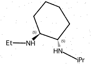 CCN[C@H]1CCCC[C@@H]1NC(C)C